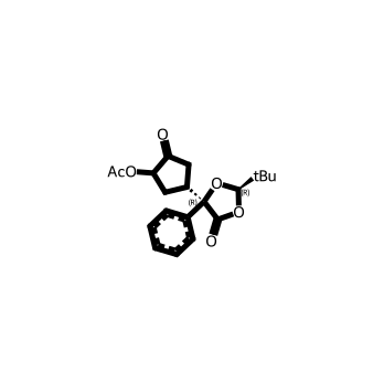 CC(=O)OC1CC([C@]2(c3ccccc3)O[C@@H](C(C)(C)C)OC2=O)CC1=O